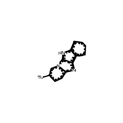 CC(C)(C)c1ccc2nc3c4ccccc4[nH]c3n2c1